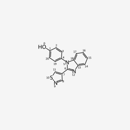 Oc1ccc(-n2c(-c3cnsc3)nc3ccccc32)cc1